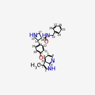 Cc1c[nH]c2nccc(Oc3ccc([C@H]4CNC[C@@H]4C(=O)NCc4ccccc4)cc3)c12